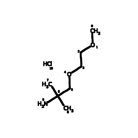 COCCOCC(C)(C)N.Cl